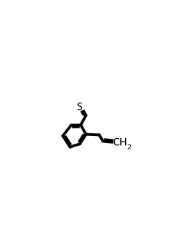 C=CCc1ccccc1C=S